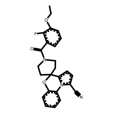 CCOc1cccc(C(=O)N2CCC3(CC2)Oc2ccccc2-n2c(C#N)ccc23)c1F